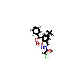 CC(C)(C)c1cc(CNC(=O)CCl)c(O)c(C(=O)C2CCCCC2)c1